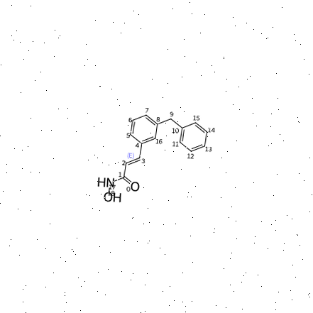 O=C(/C=C/c1cccc(Cc2ccccc2)c1)NO